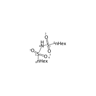 CCCCCCS(=O)(=O)NS(=O)(=O)CCCCCC